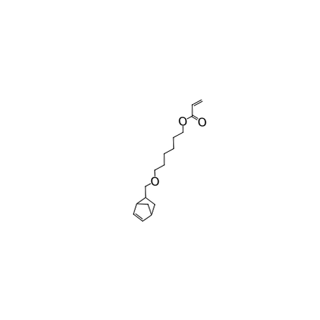 C=CC(=O)OCCCCCCOCC1CC2C=CC1C2